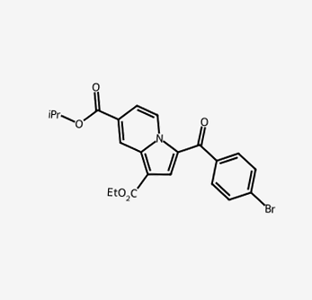 CCOC(=O)c1cc(C(=O)c2ccc(Br)cc2)n2ccc(C(=O)OC(C)C)cc12